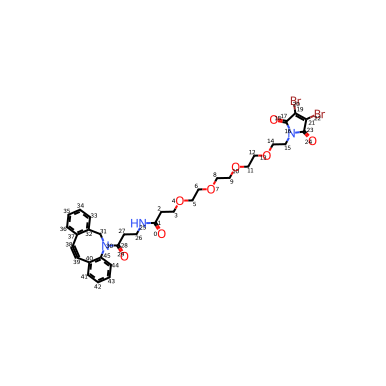 O=C(CCOCCOCCOCCOCCN1C(=O)C(Br)=C(Br)C1=O)NCCC(=O)N1Cc2ccccc2C#Cc2ccccc21